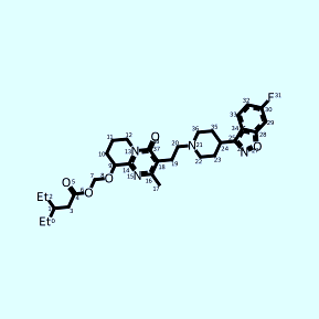 CCC(CC)CC(=O)OCOC1CCCn2c1nc(C)c(CCN1CCC(c3noc4cc(F)ccc34)CC1)c2=O